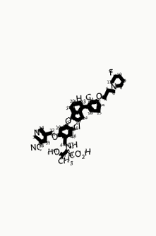 Cc1c(OCCCN2CCC[C@H](F)C2)cccc1-c1cccc2c1CC[C@@H]2Oc1cc(OCc2cncc(C#N)c2)c(CN[C@H](C(=O)O)[C@@H](C)O)cc1Cl